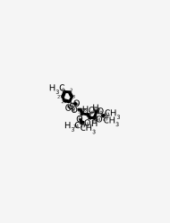 Cc1ccc(S(=O)(=O)OCC2OC(C)(C)OC3[C@@H]2O[C@@H]2OC(C)(C)O[C@@H]32)cc1